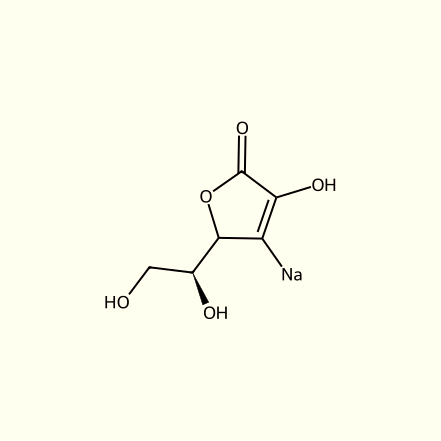 O=C1OC([C@@H](O)CO)[C]([Na])=C1O